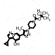 Cc1c(-c2cc(O)c3c(C4CC4)cnn3c2)nnn1C1CCN(C(=O)OC(C)(C)C)CC1